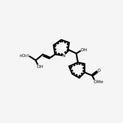 CCCCCCCCC(O)C=Cc1cccc(C(O)c2cccc(C(=O)OC)c2)n1